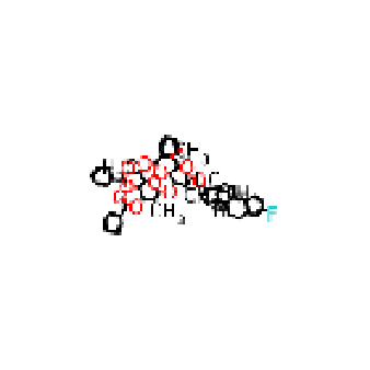 CCC1OC(OC2C(C)C(O[C@H]3CC[C@H]4[C@@H]5CCc6cc(F)ccc6[C@H]5CC[C@]34C)OC(CC)C2OC(=O)c2ccccc2)C(C)C(OC(=O)c2ccccc2)C1OC(=O)c1ccccc1